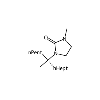 CCCCCCC[C@](C)(CCCCC)N1CCN(C)C1=O